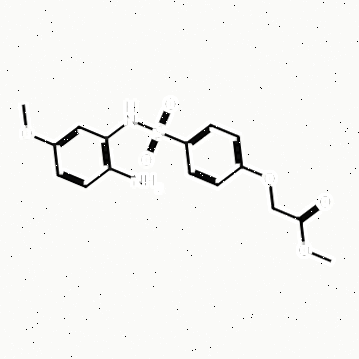 COC(=O)COc1ccc(S(=O)(=O)Nc2cc(OC)ccc2N)cc1